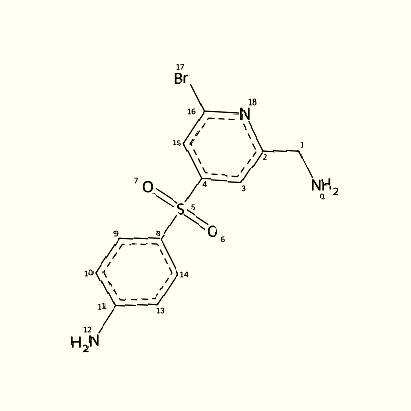 NCc1cc(S(=O)(=O)c2ccc(N)cc2)cc(Br)n1